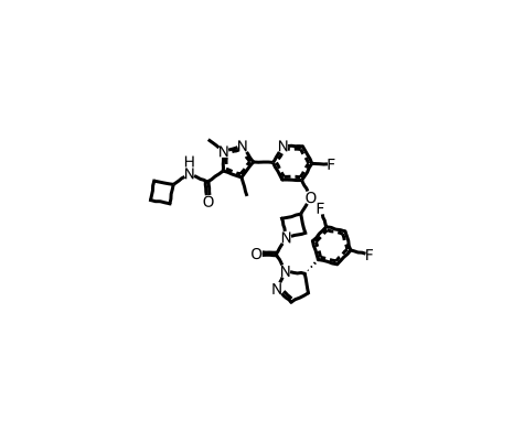 Cc1c(-c2cc(OC3CN(C(=O)N4N=CC[C@H]4c4cc(F)cc(F)c4)C3)c(F)cn2)nn(C)c1C(=O)NC1CCC1